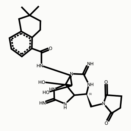 CC1(C)CCc2c(cccc2C(=O)NC2CN3C(=N)N[C@@H](CN4C(=O)CCC4=O)C4NC(=N)NC43C2(O)O)C1